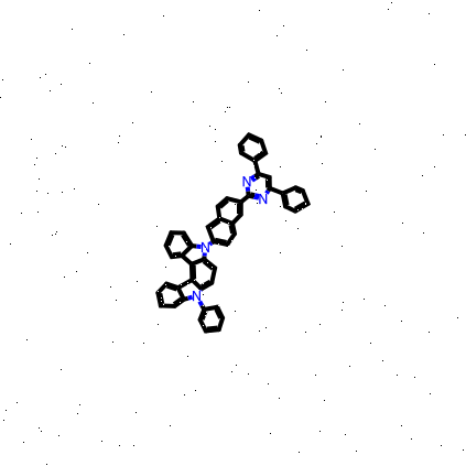 c1ccc(-c2cc(-c3ccccc3)nc(-c3ccc4cc(-n5c6ccccc6c6c7c8ccccc8n(-c8ccccc8)c7ccc65)ccc4c3)n2)cc1